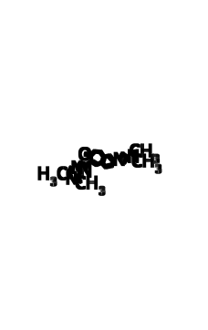 Cc1cn2cc(C3=Cc4ccc(N5CC(N(C)C)C5)cc4CCC3=O)nc2c(C)n1